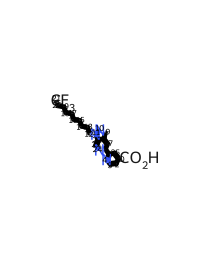 O=C(O)c1ccnc(-c2cc3cnn(CCCCCCCCCC(F)(F)F)c3cn2)c1